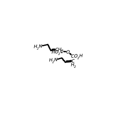 C=CCN.C=CCN.O=C(O)OC(=O)O